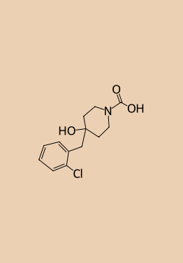 O=C(O)N1CCC(O)(Cc2ccccc2Cl)CC1